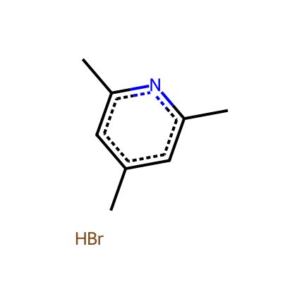 Br.Cc1cc(C)nc(C)c1